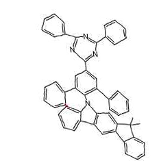 CC1(C)c2ccccc2-c2cc3c4ccccc4n(-c4c(-c5ccccc5)cc(-c5nc(-c6ccccc6)nc(-c6ccccc6)n5)cc4-c4ccccc4)c3cc21